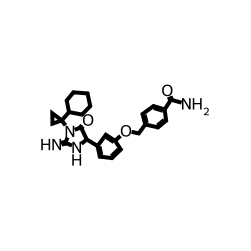 N=C1NC(c2cccc(OCc3ccc(C(N)=O)cc3)c2)C(=O)N1C1(C2CCCCC2)CC1